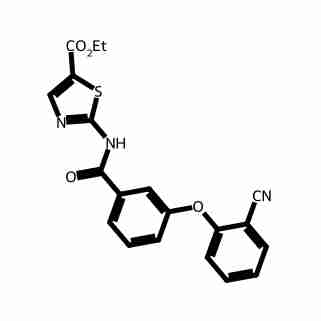 CCOC(=O)c1cnc(NC(=O)c2cccc(Oc3ccccc3C#N)c2)s1